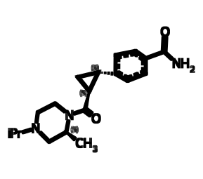 CC(C)N1CCN(C(=O)[C@H]2C[C@@H]2c2ccc(C(N)=O)cc2)[C@@H](C)C1